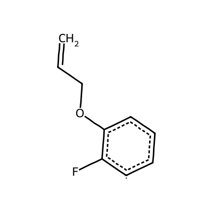 C=CCOc1ccc[c]c1F